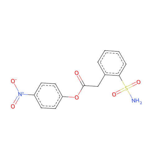 NS(=O)(=O)c1ccccc1CC(=O)Oc1ccc([N+](=O)[O-])cc1